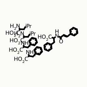 CC(C)CC(N)C(=O)O.CC(C)CC(N)C(=O)O.NC(Cc1ccccc1)C(=O)O.NC(Cc1ccccc1)C(=O)O.O=C(C=Cc1ccccc1)NC(Cc1ccccc1)C(=O)O